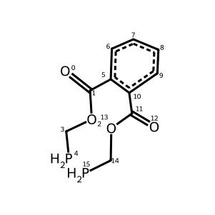 O=C(OCP)c1ccccc1C(=O)OCP